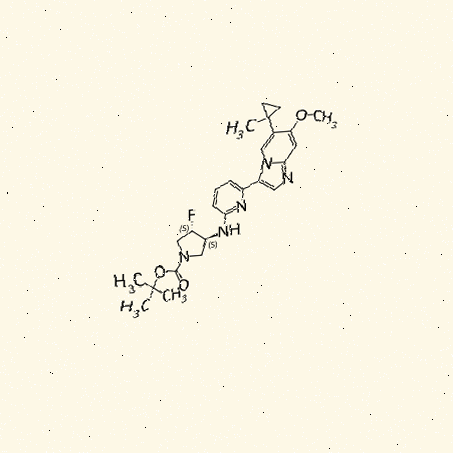 COc1cc2ncc(-c3cccc(N[C@H]4CN(C(=O)OC(C)(C)C)C[C@@H]4F)n3)n2cc1C1(C)CC1